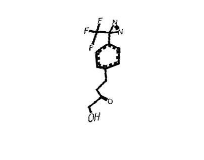 O=C(CO)CCc1ccc(C2(C(F)(F)F)N=N2)cc1